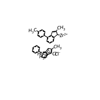 CC1=C2c3ccn(-c4ccccc4)c3C1[Si]2(C)C.CC1=Cc2c(-c3ccc(C)cc3)cccc2[CH]1[Zr+2].[Cl-].[Cl-]